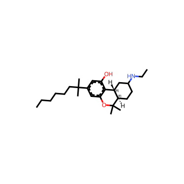 CCCCCCC(C)(C)c1cc(O)c2c(c1)OC(C)(C)[C@@H]1CCC(NCC)C[C@@H]21